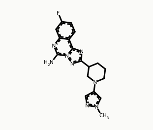 Cn1cc(N2CCCC(c3nc4c5ccc(F)cc5nc(N)n4n3)C2)cn1